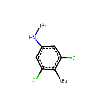 CC(C)(C)Nc1cc(Cl)c(C(C)(C)C)c(Cl)c1